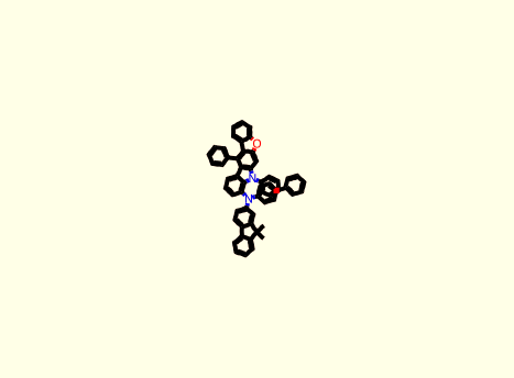 CC1(C)c2ccccc2-c2ccc(N(c3ccc(-c4ccccc4)cc3)c3cccc4c5c(-c6ccccc6)c6c(cc5n(-c5ccccc5)c34)oc3ccccc36)cc21